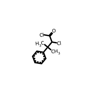 CC(C)(c1ccccc1)C(Cl)C(=O)Cl